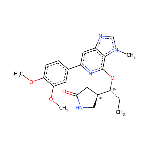 CC[C@@H](Oc1nc(-c2ccc(OC)c(OC)c2)cc2ncn(C)c12)[C@H]1CNC(=O)C1